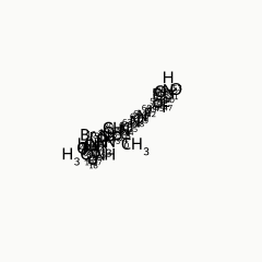 CCc1cc(Nc2ncc(Br)c(Nc3cnc4ccccc4c3P(C)(C)=O)n2)c(OC)cc1N1CCC(N2CCN([C@H]3C[C@H](c4cc(F)c(C5CCC(=O)NC5=O)c(F)c4)C3)CC2)CC1